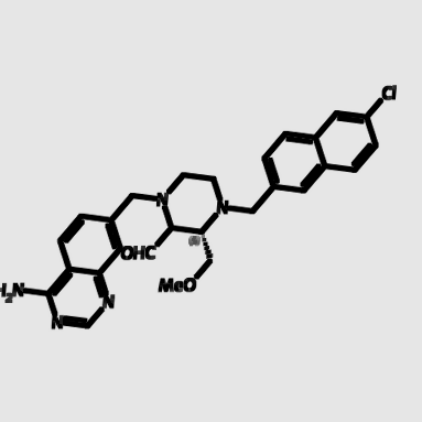 COC[C@@H]1C(C=O)N(Cc2ccc3c(N)ncnc3c2)CCN1Cc1ccc2cc(Cl)ccc2c1